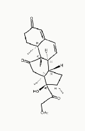 CC(=O)OCC(=O)[C@@]1(O)[C@@H](C)C[C@H]2[C@@H]3C=CC4=CC(=O)CC[C@]4(C)[C@@]3(F)C(=O)C[C@@]21C